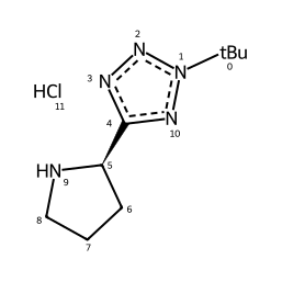 CC(C)(C)n1nnc([C@H]2CCCN2)n1.Cl